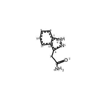 NC(=O)Cc1n[nH]c2cc[c]cc12